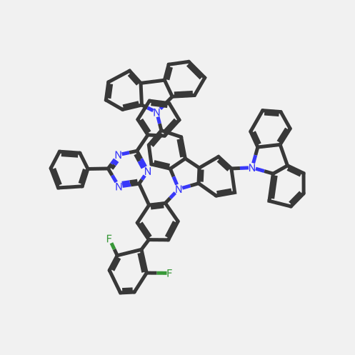 Fc1cccc(F)c1-c1ccc(-n2c3ccc(-n4c5ccccc5c5ccccc54)cc3c3cc(-n4c5ccccc5c5ccccc54)ccc32)c(-c2nc(-c3ccccc3)nc(-c3ccccc3)n2)c1